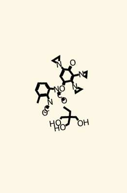 CCC(CO)(CO)CO.Cc1cccc(N=C=O)c1N=C=O.O=C1C=C(N2CC2)C(=O)C(N2CC2)=C1N1CC1